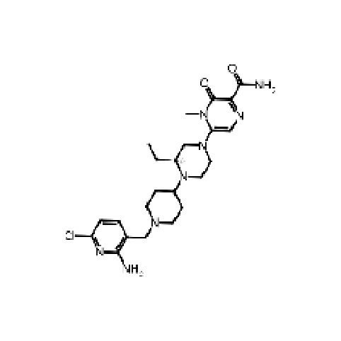 CC[C@H]1CN(c2cnc(C(N)=O)c(=O)n2C)CCN1C1CCN(Cc2ccc(Cl)nc2N)CC1